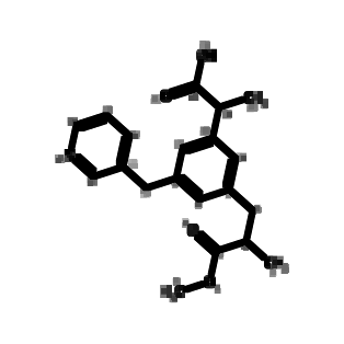 COC(=O)C(C)Cc1cc(Cc2cccnc2)cc(C(C)C(=O)O)c1